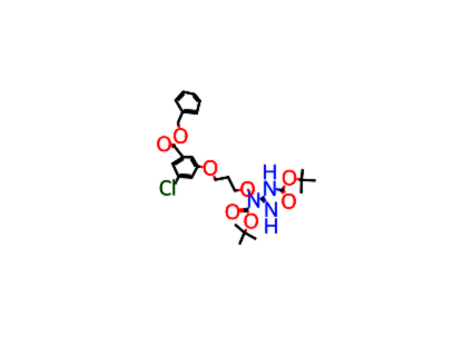 CC(C)(C)OC(=O)NC(=N)N(OCCCOc1cc(Cl)cc(C(=O)OCc2ccccc2)c1)C(=O)OC(C)(C)C